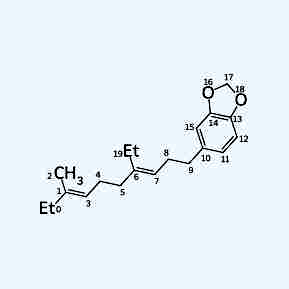 CC/C(C)=C/CC/C(=C/CCc1ccc2c(c1)OCO2)CC